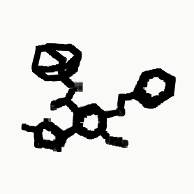 COc1cc(-c2noc(C)n2)c(C(=O)NC23CC4CC(CC(C4)C2)C3)cc1OCc1ccccc1